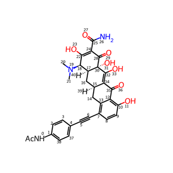 CC(=O)Nc1ccc(C#Cc2ccc(O)c3c2C[C@H]2C[C@H]4[C@@H](N(C)C)C(O)=C(C(N)=O)C(=O)[C@@]4(O)C(O)=C2C3=O)cc1